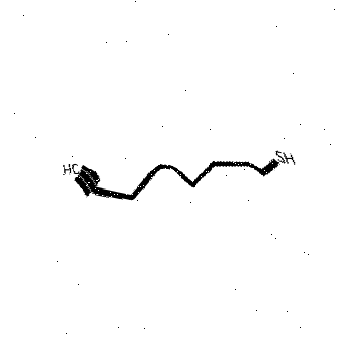 C#CCCCCCS